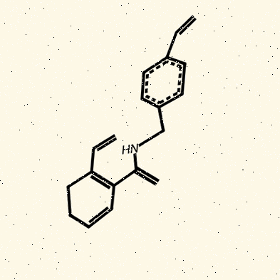 C=CC1=C(C(=C)NCc2ccc(C=C)cc2)C=CCC1